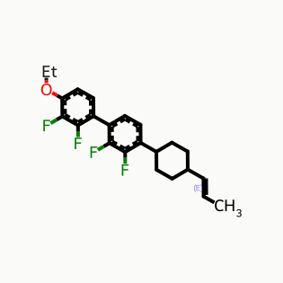 C/C=C/C1CCC(c2ccc(-c3ccc(OCC)c(F)c3F)c(F)c2F)CC1